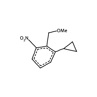 COCc1c(C2CC2)cccc1[N+](=O)[O-]